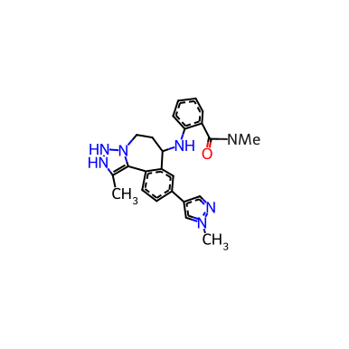 CNC(=O)c1ccccc1NC1CCN2NNC(C)=C2c2ccc(-c3cnn(C)c3)cc21